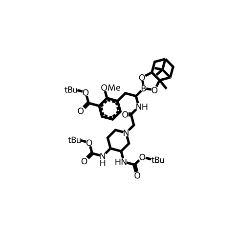 COc1c(CC(NC(=O)CN2CCC(NC(=O)OC(C)(C)C)C(NC(=O)OC(C)(C)C)C2)B2OC3CC4CC(C4(C)C)C3(C)O2)cccc1C(=O)OC(C)(C)C